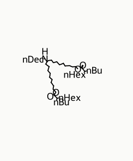 CCCCCCCCCCNC(CCCCCCCCCOC(=O)C(CCCC)CCCCCC)CCCCCCCCCOC(=O)C(CCCC)CCCCCC